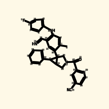 Cc1cc(Nc2ccc(F)cc2)c(C=N)cc1C12CN(C(=O)c3cc(C#N)ccn3)CC1C2c1ccccc1